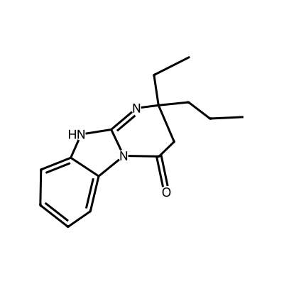 CCCC1(CC)CC(=O)N2C(=N1)Nc1ccccc12